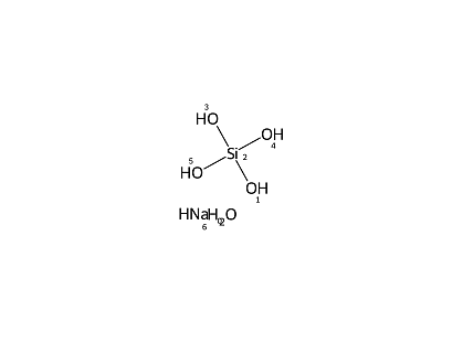 O.O[Si](O)(O)O.[NaH]